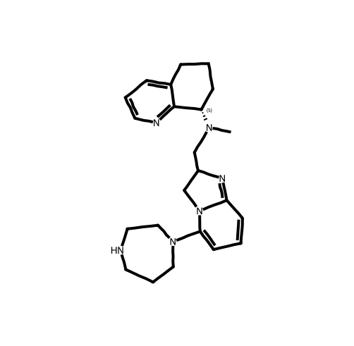 CN(CC1CN2C(N3CCCNCC3)=CC=CC2=N1)[C@H]1CCCc2cccnc21